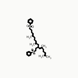 CC(C)=CCC/C(C)=C/C(CCS(=O)(=O)c1ccccc1)C/C(C)=C/CC/C(C)=C/CCCS(=O)(=O)c1ccccc1